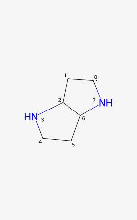 [CH]1CC2NCCC2N1